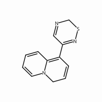 C1=CC2=C(C3=NSCN=C3)C=CCN2C=C1